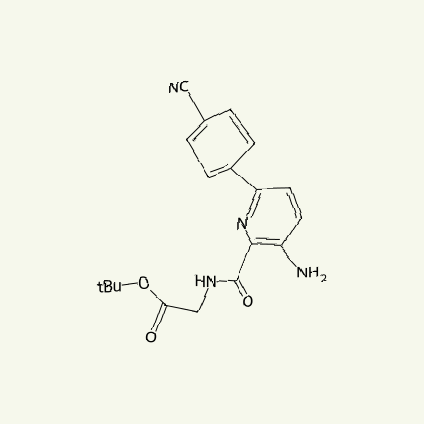 CC(C)(C)OC(=O)CNC(=O)c1nc(-c2ccc(C#N)cc2)ccc1N